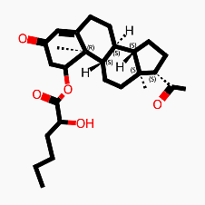 CCCCC(O)C(=O)OC1CC(=O)C=C2CC[C@H]3[C@@H]4CC[C@H](C(C)=O)[C@@]4(C)CC[C@@H]3[C@]21C